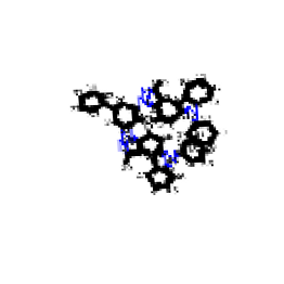 Cc1nn2c3c(cc4c(c5ccccc5n4-c4ccccc4)c13)B1c3c-2cc(-c2ccccc2)cc3-n2nc(C)c3c4c5ccccc5n(-c5ccccc5)c4cc1c32